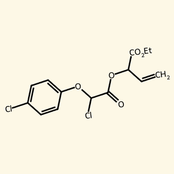 C=CC(OC(=O)C(Cl)Oc1ccc(Cl)cc1)C(=O)OCC